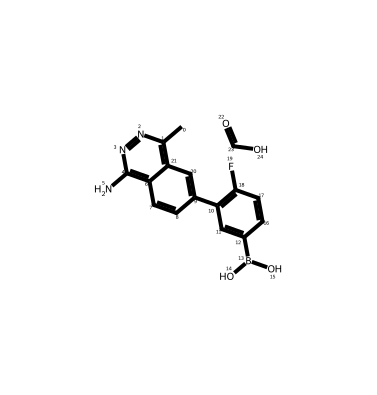 Cc1nnc(N)c2ccc(-c3cc(B(O)O)ccc3F)cc12.O=CO